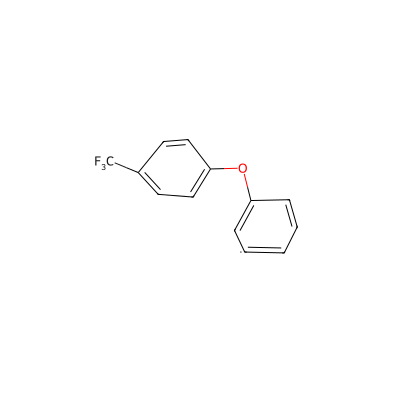 FC(F)(F)c1ccc(Oc2c[c]ccc2)cc1